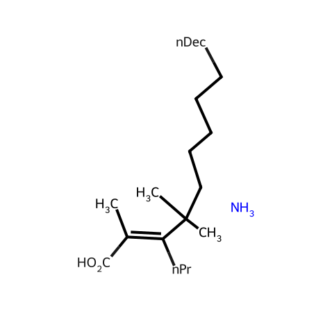 CCCCCCCCCCCCCCCC(C)(C)/C(CCC)=C(\C)C(=O)O.N